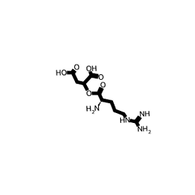 N=C(N)NCCC[C@H](N)C(=O)OC(CC(=O)O)C(=O)O